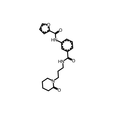 O=C(NCCCN1CCCCC1=O)c1cccc(NC(=O)c2ccco2)c1